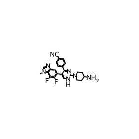 Cn1cnc2cc(C3=CNC(N4CCC(N)CC4)N=C3c3ccc(C#N)cc3)c(F)c(F)c21